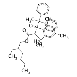 CCCCC(CC)COC(=O)C(CC)P(=O)(c1c(C)cc(C)cc1C)C(C)(c1ccccc1)c1ccccc1